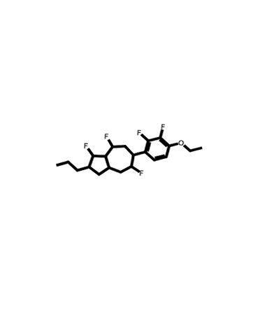 CCCC1CC2CC(F)C(c3ccc(OCC)c(F)c3F)CC(F)C2C1F